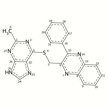 Cc1nc(SCc2nc3ccccc3nc2-c2ccccc2)c2nc[nH]c2n1